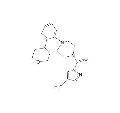 Cc1cnn(C(=O)N2CCN(c3ccccc3N3CCOCC3)CC2)c1